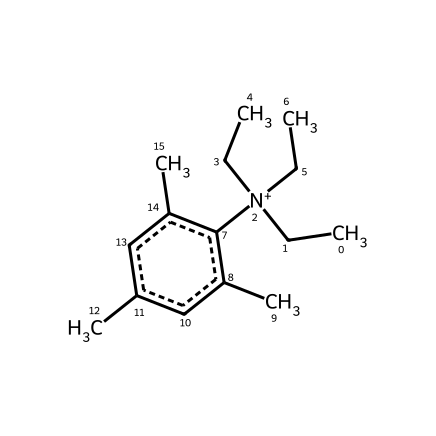 CC[N+](CC)(CC)c1c(C)cc(C)cc1C